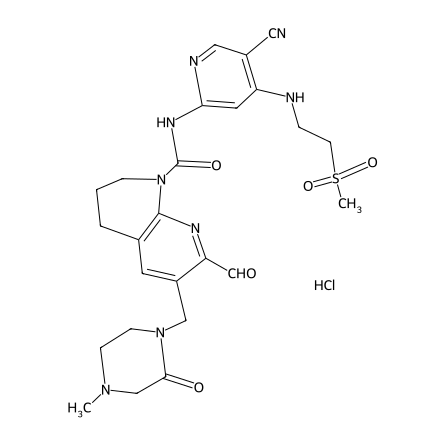 CN1CCN(Cc2cc3c(nc2C=O)N(C(=O)Nc2cc(NCCS(C)(=O)=O)c(C#N)cn2)CCC3)C(=O)C1.Cl